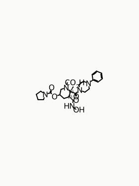 C[C@@]1(C(=O)N2CCN(c3ccccc3)CC2)[C@@H](C(=O)NO)CC(OC(=O)N2CCCC2)CN1C(=O)O